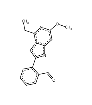 CCc1nc(OC)cc2nc(-c3ccccc3C=O)cn12